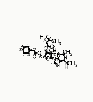 CNc1nc(C)nc2c1ncn2[C@@H]1O[C@H](COC(=O)Cc2ccccc2)[C@@H](OC(=O)CC(C)C)[C@@]1(C)F